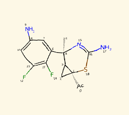 CC(=O)[C@]12CC1[C@@](C)(c1cc(N)cc(F)c1F)N=C(N)S2